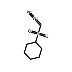 [N-]=[N+]=CS(=O)(=O)C1CCCCC1